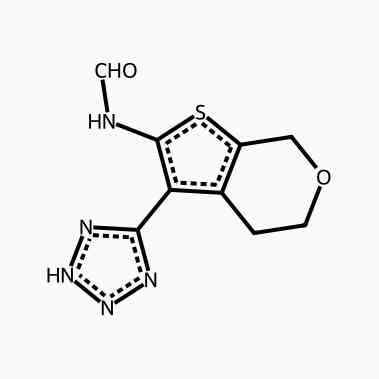 O=CNc1sc2c(c1-c1nn[nH]n1)CCOC2